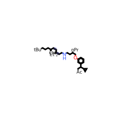 C=C(/C=C\C(=C/CNCCC(CCC)COc1cccc(C(CC(C)=O)C2CC2)c1)CC)CCCC(C)(C)C